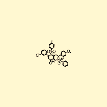 COc1ccc(C2C[C@H]3[C@@H](CN2S(=O)(=O)c2ccccc2)C(=O)C[C@@H](c2cccc(Cl)c2)N3S(=O)(=O)c2ccc(C)cc2)cc1